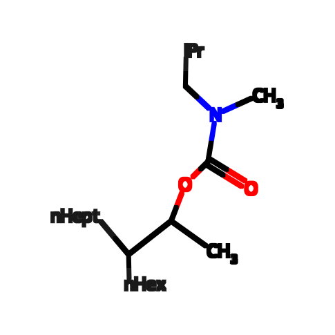 CCCCCCCC(CCCCCC)C(C)OC(=O)N(C)CC(C)C